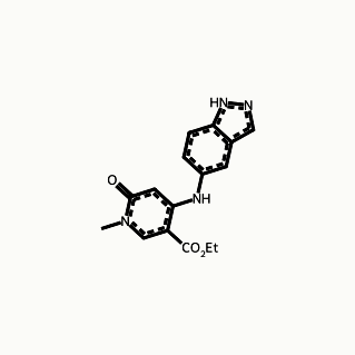 CCOC(=O)c1cn(C)c(=O)cc1Nc1ccc2[nH]ncc2c1